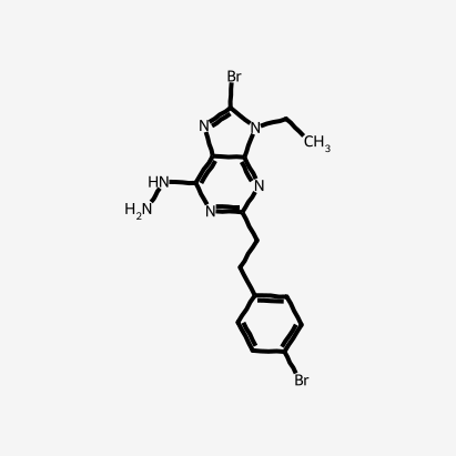 CCn1c(Br)nc2c(NN)nc(CCc3ccc(Br)cc3)nc21